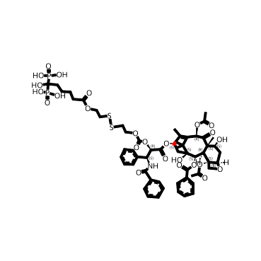 CC(=O)O[C@H]1C(=O)[C@@]2(C)[C@H]([C@H](OC(=O)c3ccccc3)[C@]3(O)C[C@H](OC(=O)[C@H](OC(=O)OCCSSCCOC(=O)CCCCC(O)(P(=O)(O)O)P(=O)(O)O)[C@@H](NC(=O)c4ccccc4)c4ccccc4)C(C)=C1C3(C)C)[C@]1(OC(C)=O)CO[C@@H]1C[C@@H]2O